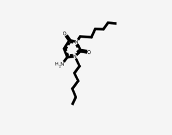 CCCCCCn1c(N)cc(=O)n(CCCCCC)c1=O